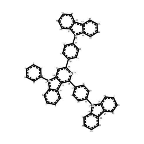 c1ccc(-n2c3ccccc3c3c(-c4ccc(-n5c6ccccc6c6ccccc65)cc4)nc(-c4ccc(-n5c6ccccc6c6ccccc65)cc4)cc32)cc1